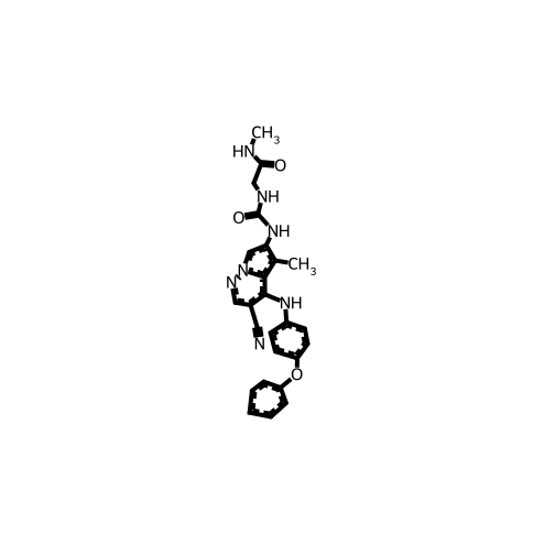 CNC(=O)CNC(=O)Nc1cn2ncc(C#N)c(Nc3ccc(Oc4ccccc4)cc3)c2c1C